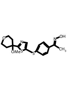 COC1(c2ncc(Sc3ccc(C(C)=NO)cc3)s2)CCOCC1